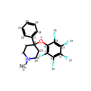 N#CN1CCC(Oc2c(F)c(F)c(F)c(F)c2F)(c2ccccc2)CC1